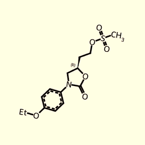 CCOc1ccc(N2C[C@@H](CCOS(C)(=O)=O)OC2=O)cc1